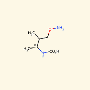 CC(CON)[C@@H](C)NC(=O)O